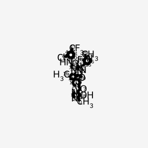 Cc1ncnc(C(=O)N2CCC3(CC2)CC(C)c2c3c(=O)n3nc(-c4ccnc(C)c4F)nc3n2CC(=O)Nc2ccc(C(F)(F)F)cc2Cl)c1O